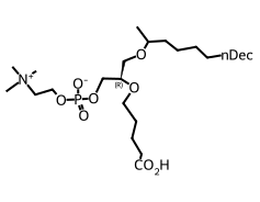 CCCCCCCCCCCCCCC(C)OC[C@H](COP(=O)([O-])OCC[N+](C)(C)C)OCCCCC(=O)O